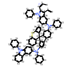 C=Cc1c(/C=C\C)n(-c2ccccc2)c2ccc(N(c3ccccc3)c3ccc4c(c3)C3(c5ccccc5Sc5ccccc53)c3cc(N(c5ccccc5)c5ccc6c(c5)c5ccccc5n6-c5ccccc5)ccc3-4)cc12